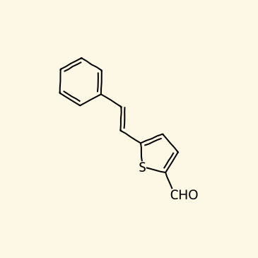 O=Cc1ccc(C=Cc2ccccc2)s1